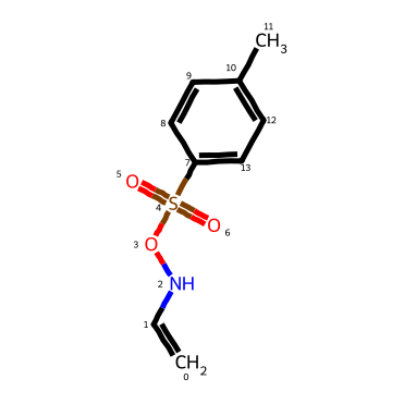 C=CNOS(=O)(=O)c1ccc(C)cc1